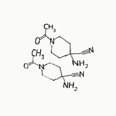 CC(=O)N1CCC(N)(C#N)CC1.CC(=O)N1CCC(N)(C#N)CC1